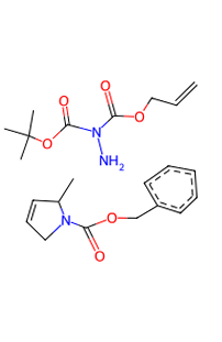 C=CCOC(=O)N(N)C(=O)OC(C)(C)C.CC1C=CCN1C(=O)OCc1ccccc1